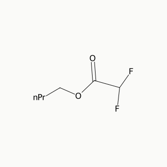 CCCCOC(=O)C(F)F